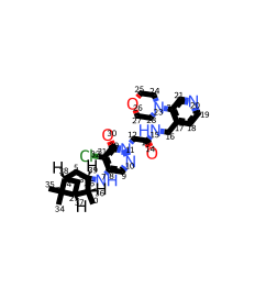 C[C@@H]1[C@H]2C[C@@H](C[C@H]1Nc1cnn(CC(=O)NCc3ccncc3N3CCOCC3)c(=O)c1Cl)C2(C)C